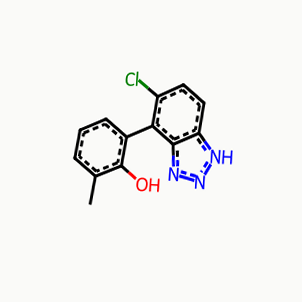 Cc1cccc(-c2c(Cl)ccc3[nH]nnc23)c1O